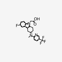 CN(c1ccc(C(F)(F)F)cn1)[C@H]1CCc2c(c3cc(F)ccc3n2CC(=O)O)C1